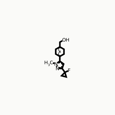 Cn1nc(C2(F)CC2)cc1C12CCC(CO)(CC1)CC2